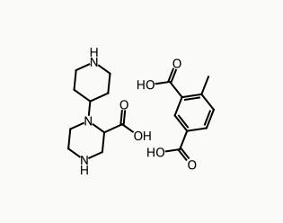 Cc1ccc(C(=O)O)cc1C(=O)O.O=C(O)C1CNCCN1C1CCNCC1